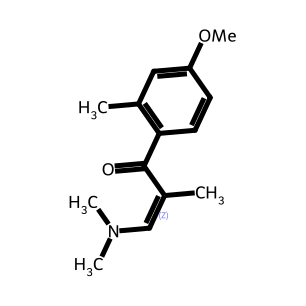 COc1ccc(C(=O)/C(C)=C\N(C)C)c(C)c1